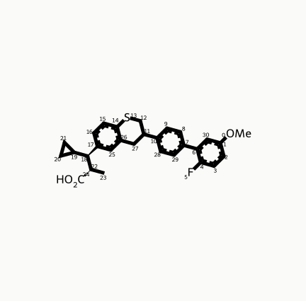 COc1ccc(F)c(-c2ccc(C3CSc4ccc([C@H](C5CC5)[C@H](C)C(=O)O)cc4C3)cc2)c1